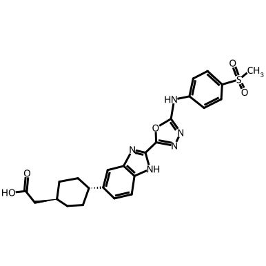 CS(=O)(=O)c1ccc(Nc2nnc(-c3nc4cc([C@H]5CC[C@H](CC(=O)O)CC5)ccc4[nH]3)o2)cc1